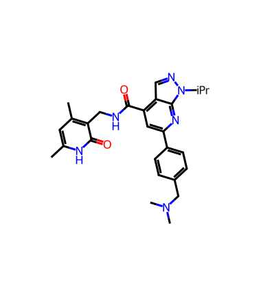 Cc1cc(C)c(CNC(=O)c2cc(-c3ccc(CN(C)C)cc3)nc3c2cnn3C(C)C)c(=O)[nH]1